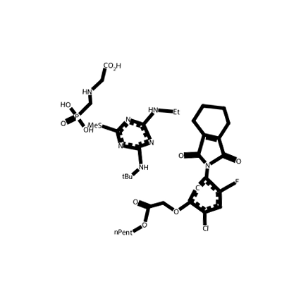 CCCCCOC(=O)COc1cc(N2C(=O)C3=C(CCCC3)C2=O)c(F)cc1Cl.CCNc1nc(NC(C)(C)C)nc(SC)n1.O=C(O)CNCP(=O)(O)O